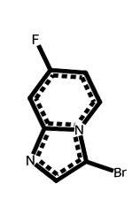 Fc1ccn2c(Br)cnc2c1